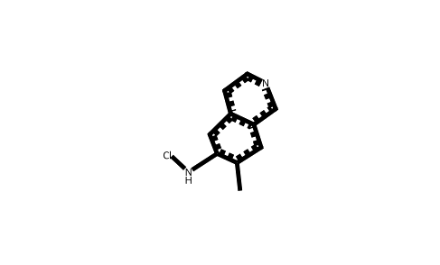 Cc1cc2cnccc2cc1NCl